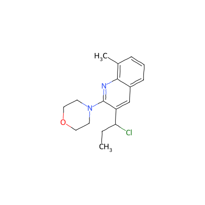 CCC(Cl)c1cc2cccc(C)c2nc1N1CCOCC1